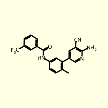 Cc1ccc(NC(=O)c2cccc(C(F)(F)F)c2)cc1-c1cnc(N)c(C#N)c1